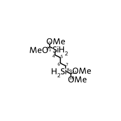 COC(OC)[SiH2]CCCC[SiH2]C(OC)OC